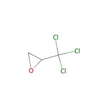 ClC(Cl)(Cl)C1CO1